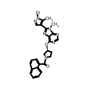 CCn1ncc(-c2nc3c(O[C@H]4CCN(C(=O)c5cccc6ccccc56)C4)ncnc3n2C)c1C